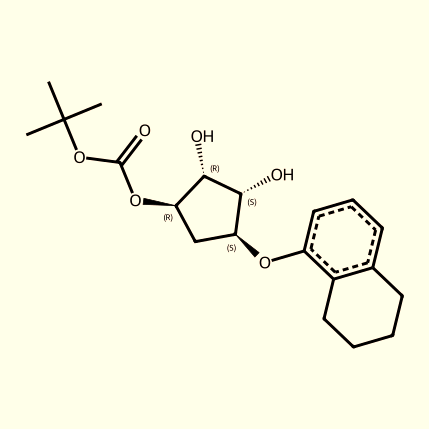 CC(C)(C)OC(=O)O[C@@H]1C[C@H](Oc2cccc3c2CCCC3)[C@@H](O)[C@H]1O